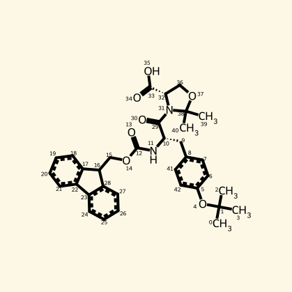 CC(C)(C)Oc1ccc(C[C@H](NC(=O)OCC2c3ccccc3-c3ccccc32)C(=O)N2[C@H](C(=O)O)COC2(C)C)cc1